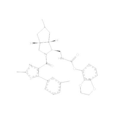 Cc1cccc(-c2sc(C)nc2C(=O)N2C[C@@H]3CC(C)C[C@@H]3[C@H]2CNC(=O)Oc2cccc3c2OCCO3)c1